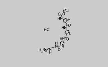 Cl.Cn1cc(NC(=O)c2cc(NC(=O)c3cc(NC(=O)OC(C)(C)C)cn3C)cn2C)cc1C(=O)NCCNC=NN